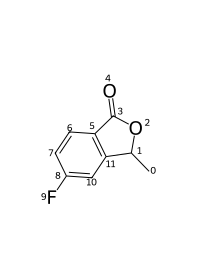 CC1OC(=O)c2ccc(F)cc21